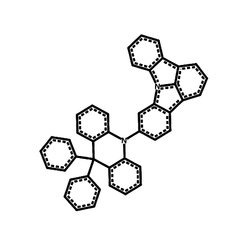 c1ccc(C2(c3ccccc3)c3ccccc3N(c3ccc4c5cccc6c7ccccc7n(c4c3)c65)c3ccccc32)cc1